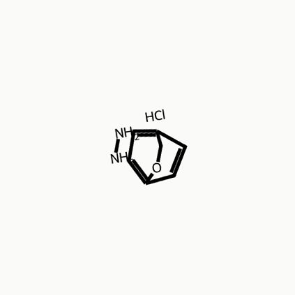 Cl.NN.c1cc2ccc1CO2